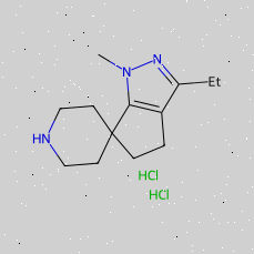 CCc1nn(C)c2c1CCC21CCNCC1.Cl.Cl